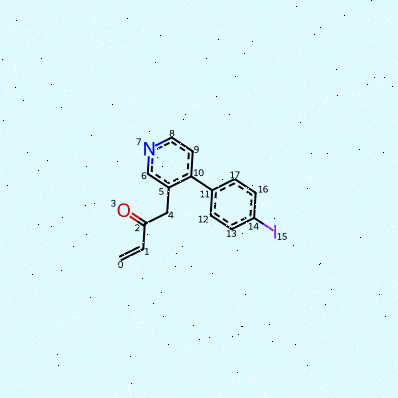 C=CC(=O)Cc1cnccc1-c1ccc(I)cc1